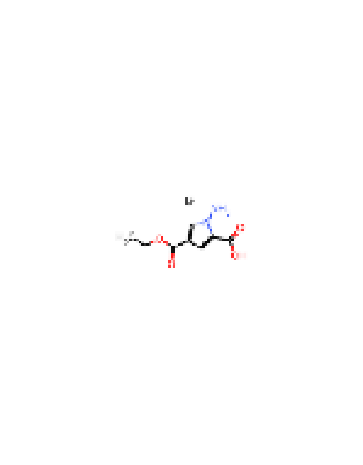 CCOC(=O)c1cc(C(=O)O)n(N)c1.[Li]